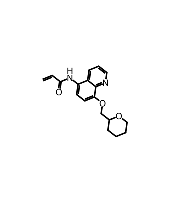 C=CC(=O)Nc1ccc(OCC2CCCCO2)c2ncccc12